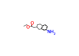 CCOC(=O)CC1CCc2ccc(N)cc2C1